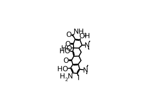 CN(C)c1c(I)c(N)c(O)c2c1CC1CC3C(N(C)C)C(O)=C(C(N)=O)C(=O)C3(O)C(O)=C1C2=O